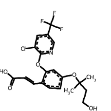 CC(C)(CCO)Oc1ccc(C=CC(=O)O)c(Oc2ncc(C(F)(F)F)cc2Cl)c1